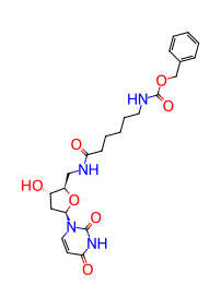 O=C(CCCCCNC(=O)OCc1ccccc1)NC[C@H]1O[C@@H](n2ccc(=O)[nH]c2=O)C[C@@H]1O